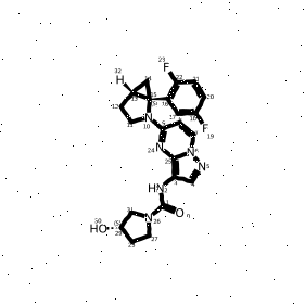 O=C(Nc1cnn2ccc(N3CC[C@@H]4C[C@@]43c3cc(F)ccc3F)nc12)N1CC[C@H](O)C1